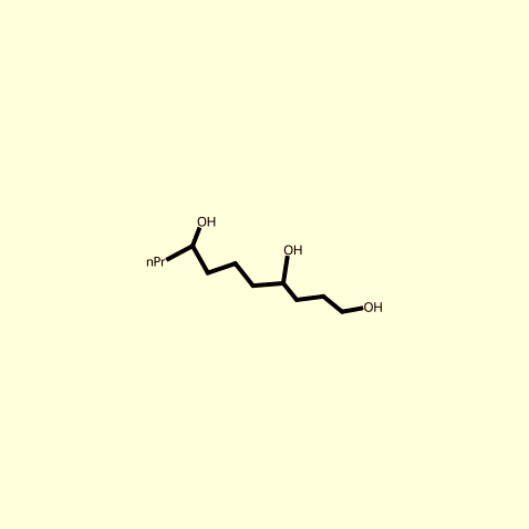 [CH2]CCC(O)CCCC(O)CCCO